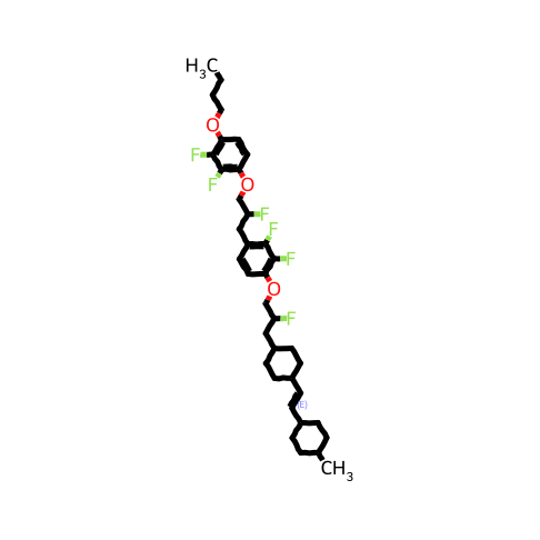 CCCCOc1ccc(OCC(F)Cc2ccc(OCC(F)CC3CCC(/C=C/C4CCC(C)CC4)CC3)c(F)c2F)c(F)c1F